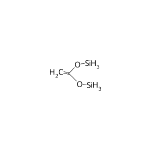 C=C(O[SiH3])O[SiH3]